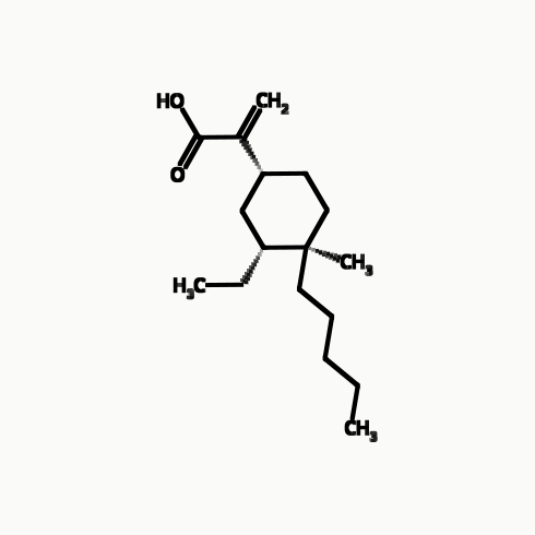 C=C(C(=O)O)[C@@H]1CC[C@@](C)(CCCCC)[C@H](CC)C1